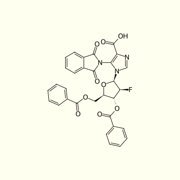 O=C(OC[C@H]1O[C@@H](n2cnc(C(=O)O)c2N2C(=O)c3ccccc3C2=O)[C@@H](F)[C@@H]1OC(=O)c1ccccc1)c1ccccc1